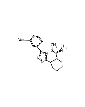 CN=C(SC)N1CCCCC1c1nnn(-c2cccc(C#N)c2)n1